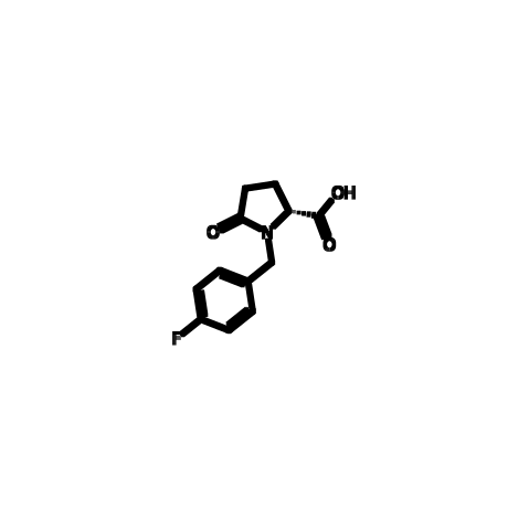 O=C(O)[C@H]1CCC(=O)N1Cc1ccc(F)cc1